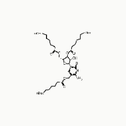 CCCCCCCCCCCCCCCC(=O)OCc1cn([C@@H]2O[C@H](COC(=O)CCCCCCCCCCCCCCC)[C@@H](OC(=O)CCCCCCCCCCCCCCC)[C@@H]2O)c(=O)nc1N